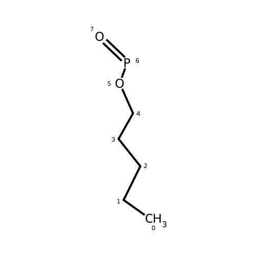 CCCCCOP=O